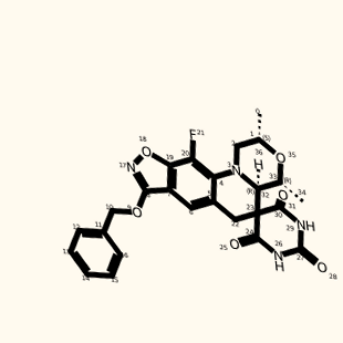 C[C@H]1CN2c3c(cc4c(OCc5ccccc5)noc4c3F)CC3(C(=O)NC(=O)NC3=O)[C@@H]2[C@@H](C)O1